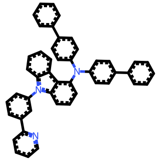 c1ccc(-c2ccc(N(c3ccc(-c4ccccc4)cc3)c3cccc4c3c3ccccc3n4-c3cccc(-c4ccccn4)c3)cc2)cc1